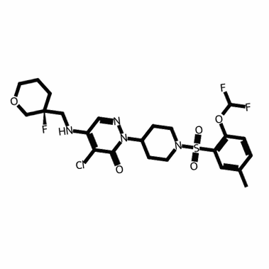 Cc1ccc(OC(F)F)c(S(=O)(=O)N2CCC(n3ncc(NC[C@@]4(F)CCCOC4)c(Cl)c3=O)CC2)c1